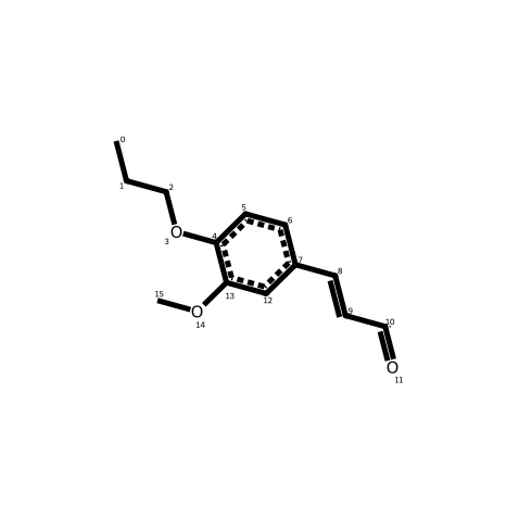 CCCOc1ccc(/C=C/[C]=O)cc1OC